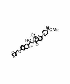 CCOc1nc(N2CCN(C(=O)OC)CC2)ccc1C(=O)NC[C@@H](O)[C@@H]1Cc2ccc(OCc3cnco3)cc2CN1